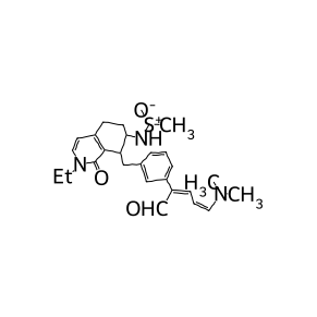 CCn1ccc2c(c1=O)C(Cc1cccc(/C(C=O)=C/C=C\N(C)C)c1)C(N[S+](C)[O-])CC2